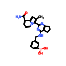 Cc1cc2c(C(N)=O)cccn2c1-c1nc2c(c(NCc3cccc(B(O)O)c3)n1)CCC2